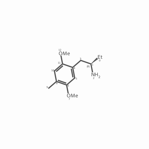 CC[C@@H](N)Cc1cc(OC)c(C)cc1OC